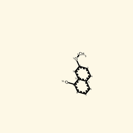 COc1ccc2cccc([O])c2c1